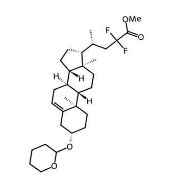 COC(=O)C(F)(F)C[C@@H](C)[C@H]1CC[C@H]2[C@@H]3CC=C4C[C@@H](OC5CCCCO5)CC[C@]4(C)[C@H]3CC[C@]12C